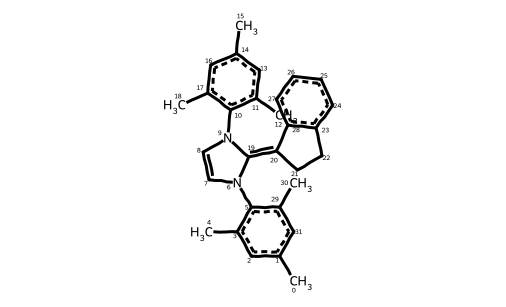 Cc1cc(C)c(N2C=CN(c3c(C)cc(C)cc3C)C2=C2CCc3ccccc32)c(C)c1